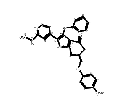 COc1ccc(SCC2CC(=O)c3c([nH]c(-c4ccnc(NC=O)c4)c3Nc3ccccc3)C2)cc1